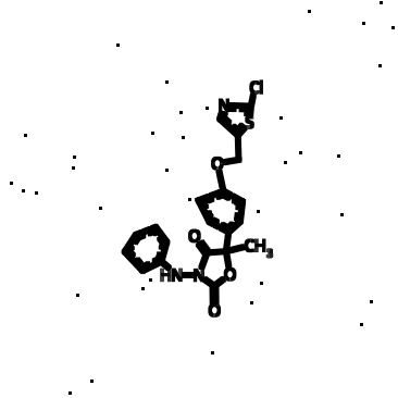 CC1(c2ccc(OCc3cnc(Cl)s3)cc2)OC(=O)N(Nc2ccccc2)C1=O